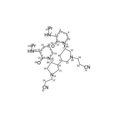 CC(C)Nc1cccn([C@@H]2CC(C3CN(CCC#N)C[C@@H]3n3cccc(NC(C)C)c3=O)CN(CCC#N)C2)c1=O